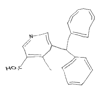 Cc1c(C(=O)O)cncc1C(c1ccccc1)c1ccccc1